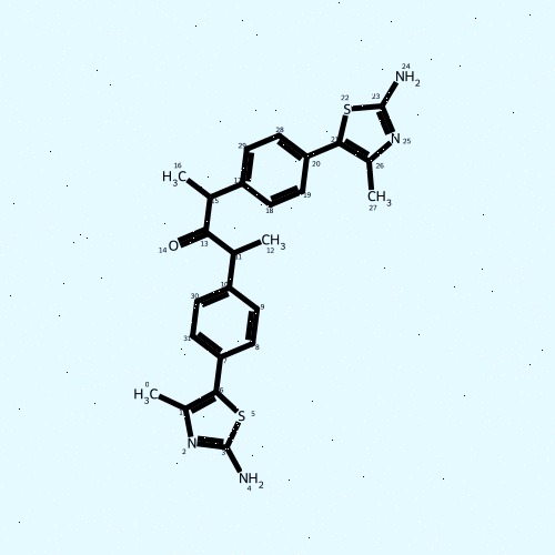 Cc1nc(N)sc1-c1ccc(C(C)C(=O)C(C)c2ccc(-c3sc(N)nc3C)cc2)cc1